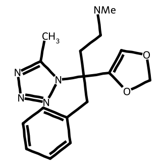 CNCCC(Cc1ccccc1)(C1=COCO1)n1nnnc1C